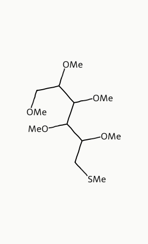 COCC(OC)C(OC)C(OC)C(CSC)OC